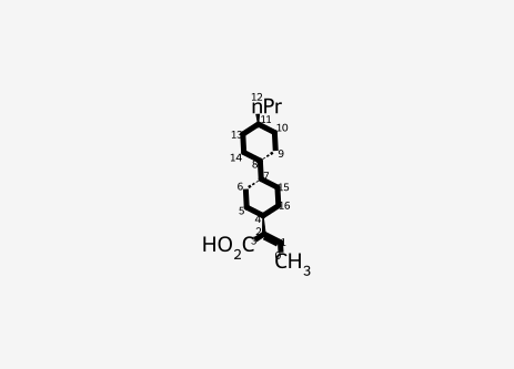 CC=C(C(=O)O)[C@H]1CC[C@H]([C@H]2CC[C@H](CCC)CC2)CC1